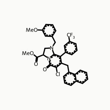 COC(=O)C1CN(Cc2cccc(OC)c2)c2c(-c3cccc(C(F)(F)F)c3)c(Cc3cccc4ccccc34)c(Cl)c(=O)n21